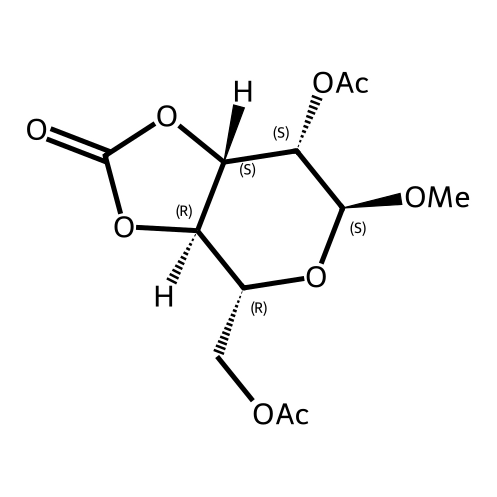 CO[C@H]1O[C@H](COC(C)=O)[C@H]2OC(=O)O[C@@H]2[C@@H]1OC(C)=O